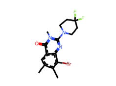 Cc1cc2c(=O)n(C)c(N3CCC(F)(F)CC3)nc2c(Br)c1C